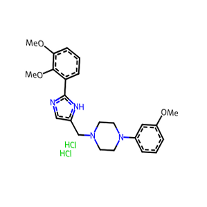 COc1cccc(N2CCN(Cc3cnc(-c4cccc(OC)c4OC)[nH]3)CC2)c1.Cl.Cl